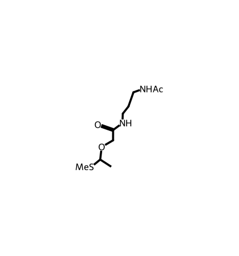 CSC(C)OCC(=O)NCCCNC(C)=O